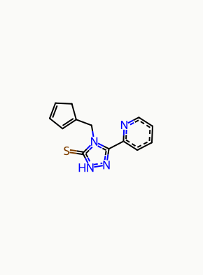 S=c1[nH]nc(-c2ccccn2)n1CC1=CC=CC1